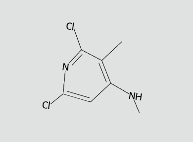 CNc1cc(Cl)nc(Cl)c1C